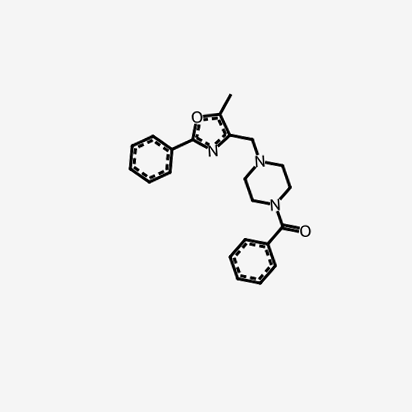 Cc1oc(-c2ccccc2)nc1CN1CCN(C(=O)c2ccccc2)CC1